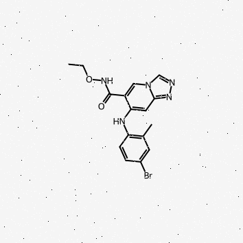 CCONC(=O)c1cn2cnnc2cc1Nc1ccc(Br)cc1C